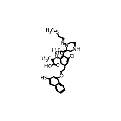 C=C(C(=O)O)N(C)C1=C(/C(C)=C2\CNCCN2/N=C/CSC)C(Cl)=CC(CCOc2cc(S)cc3ccccc23)C1